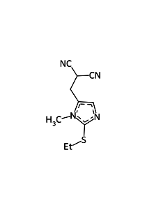 CCSc1ncc(CC(C#N)C#N)n1C